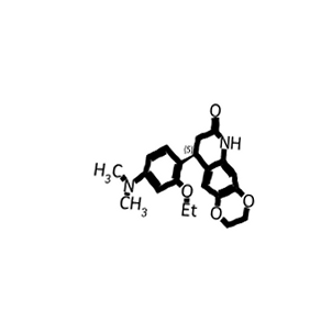 CCOc1cc(N(C)C)ccc1[C@H]1CC(=O)Nc2cc3c(cc21)OCCO3